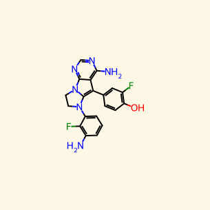 Nc1cccc(N2CCn3c2c(-c2ccc(O)c(F)c2)c2c(N)ncnc23)c1F